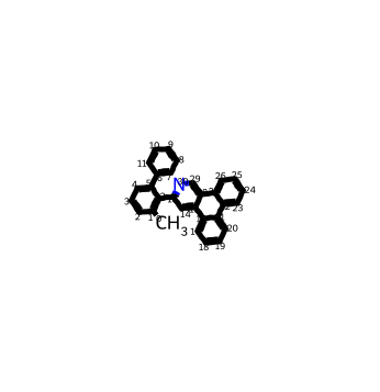 Cc1cccc(-c2ccccc2)c1-c1cc2c3ccccc3c3ccccc3c2cn1